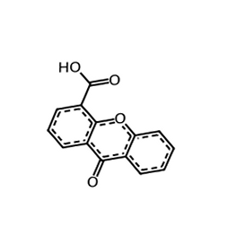 O=C(O)c1cccc2c(=O)c3ccccc3oc12